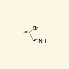 C=C(Br)C=N